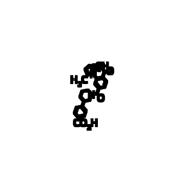 Cc1ccc(C)n1-c1cc(C(=O)N2CCCC(c3ccc(C(=O)O)cc3)C2)ccc1C(=O)N=O